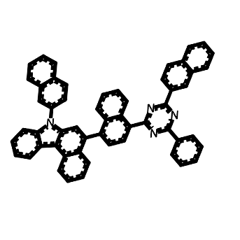 c1ccc(-c2nc(-c3ccc4ccccc4c3)nc(-c3ccc(-c4cc5c(c6ccccc46)c4ccccc4n5-c4ccc5ccccc5c4)c4ccccc34)n2)cc1